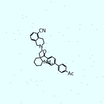 CC(=O)c1ccc(-c2ccc(C(=O)C3(CCN4CCc5c(C#N)cccc5C4)CCCCC3N)cc2)cc1